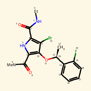 CCNC(=O)c1[nH]c(C(=O)NC)c(O[C@@H](C)c2ccccc2F)c1Br